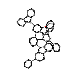 C1=Cc2oc3c(-c4cccc(-n5c6ccccc6c6ccc(-c7ccccc7)cc65)c4-c4nc(-c5ccccc5)nc(-c5ccccc5)n4)cc(-n4c5ccccc5c5ccccc54)cc3c2CC1